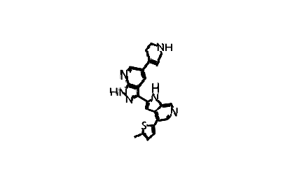 Cc1ccc(-c2cncc3[nH]c(-c4n[nH]c5ncc(C6=CCNCC6)cc45)cc23)s1